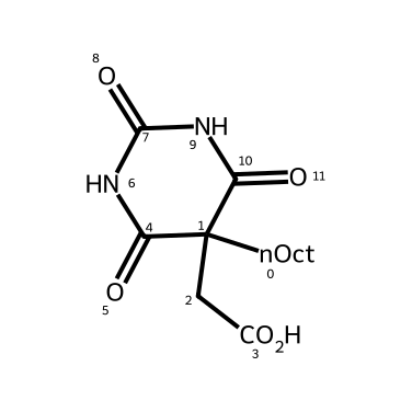 CCCCCCCCC1(CC(=O)O)C(=O)NC(=O)NC1=O